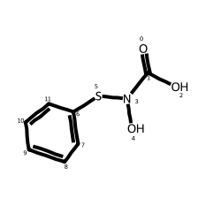 O=C(O)N(O)Sc1ccccc1